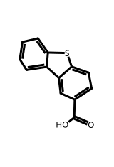 O=C(O)c1ccc2sc3ccccc3c2c1